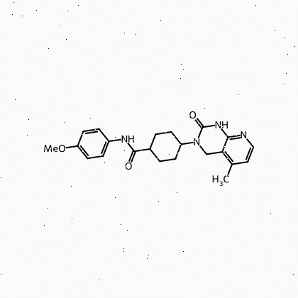 COc1ccc(NC(=O)C2CCC(N3Cc4c(C)ccnc4NC3=O)CC2)cc1